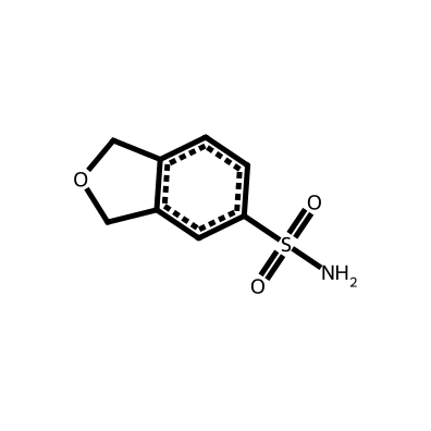 NS(=O)(=O)c1ccc2c(c1)COC2